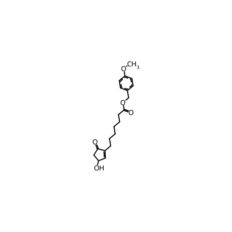 COc1ccc(COC(=O)CCCCCCC2=CC(O)CC2=O)cc1